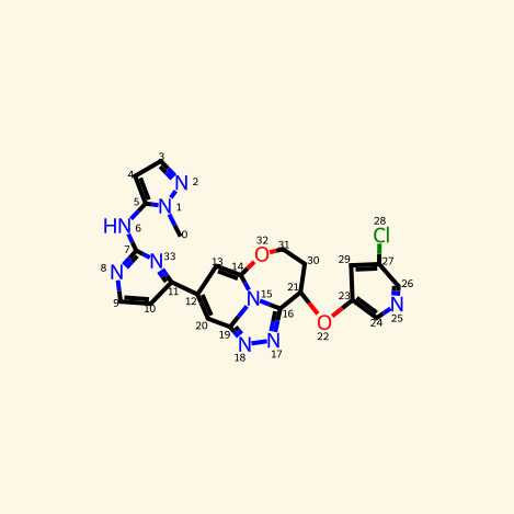 Cn1nccc1Nc1nccc(-c2cc3n4c(nnc4c2)C(Oc2cncc(Cl)c2)CCO3)n1